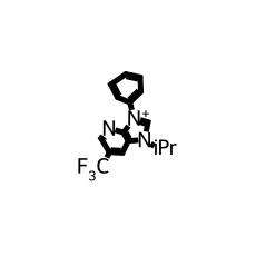 CC(C)n1c[n+](-c2ccccc2)c2ncc(C(F)(F)F)cc21